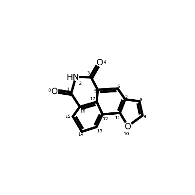 O=C1NC(=O)c2cc3ccoc3c3cccc1c23